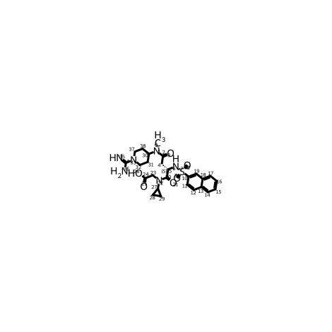 CN(C(=O)C[C@H](NS(=O)(=O)c1ccc2ccccc2c1)C(=O)N(CC(=O)O)C1CC1)C1CCN(C(=N)N)CC1